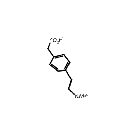 CNCCc1ccc(CC(=O)O)cc1